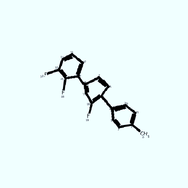 Cc1ccc(-c2ccc(-c3cccc(F)c3F)cc2F)cc1